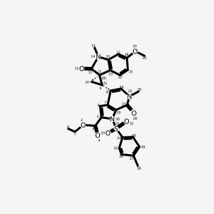 CCOC(=O)c1cc2c([C@@H]3C[C@@]34C(=O)N(C)c3cc(OC)ccc34)cn(C)c(=O)c2n1S(=O)(=O)c1ccc(C)cc1